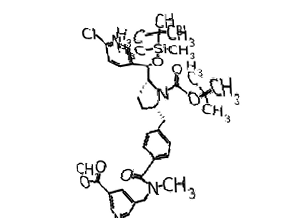 COC(=O)c1cncc(CN(C)C(=O)c2ccc(C[C@@H]3CC[C@H]([C@H](O[Si](C)(C)C(C)(C)C)c4ccc(Cl)nc4)N3C(=O)OC(C)(C)C)cc2)c1